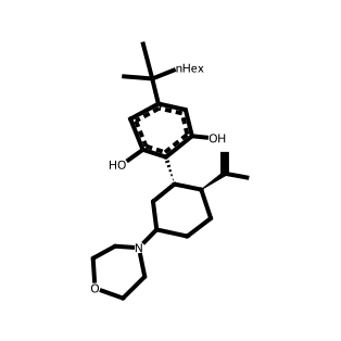 C=C(C)[C@H]1CCC(N2CCOCC2)C[C@@H]1c1c(O)cc(C(C)(C)CCCCCC)cc1O